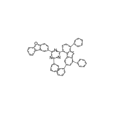 c1ccc(-c2cc(-c3ccccc3)c3sc4c(-c5ccccc5)ccc(-c5nc(-c6ccccc6)nc(-c6ccc7oc8ccccc8c7c6)n5)c4c3c2)cc1